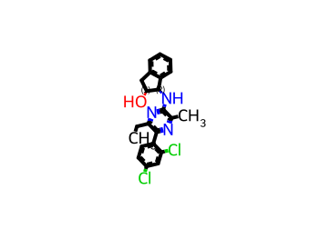 CCc1nc(N[C@@H]2c3ccccc3C[C@@H]2O)c(C)nc1-c1ccc(Cl)cc1Cl